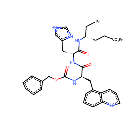 CCOC(=O)CC[C@@H](CC(C)C)NC(=O)[C@@H](Cc1c[nH]cn1)NC(=O)[C@@H](Cc1cccc2ncccc12)NC(=O)OCc1ccccc1